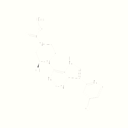 C[C@H]1CN(C(=O)OC(C)(C)C)CCN1c1ncnc2c(-c3cc(Cl)ccn3)c[nH]c12